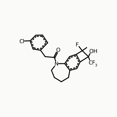 CC1(F)c2cc3c(cc2C1(O)C(F)(F)F)CCCCN3C(=O)Cc1cccc(Cl)c1